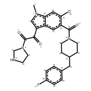 Cn1cc(C(=O)C(=O)N2CCNC2)c2cc(C(=O)N3CCC(Cc4ccc(F)cc4)CC3)c(Cl)cc21